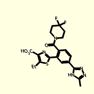 CCc1sc(-c2cc(-c3nnc(C)[nH]3)ccc2C(=O)N2CCC(F)(F)CC2)nc1C(=O)O